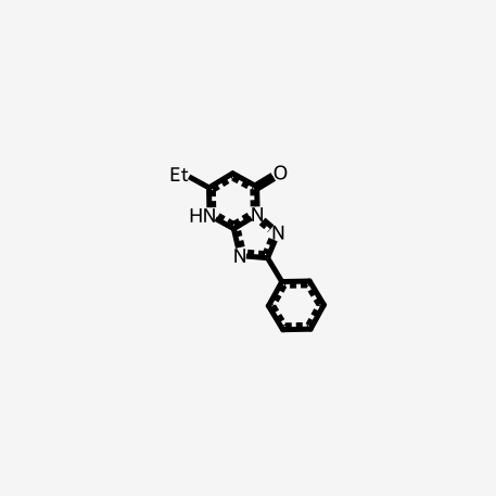 CCc1cc(=O)n2nc(-c3ccccc3)nc2[nH]1